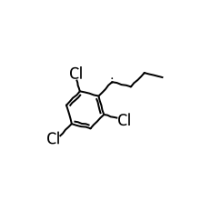 CCC[CH]c1c(Cl)cc(Cl)cc1Cl